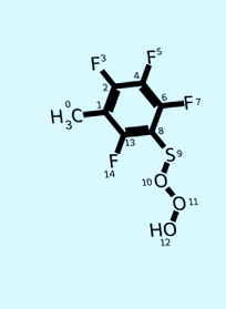 Cc1c(F)c(F)c(F)c(SOOO)c1F